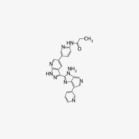 CCC(=O)Nc1ccc(-c2cnc3[nH]nc(-c4nc5c(-c6cccnc6)cncc5n4N)c3c2)cn1